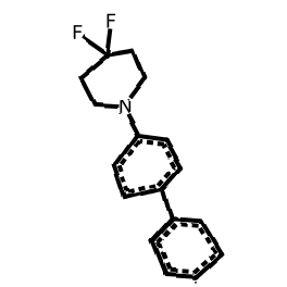 FC1(F)CCN(c2ccc(-c3cc[c]cc3)cc2)CC1